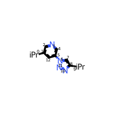 CC(C)c1cncc(-n2cc(C(C)C)nn2)c1